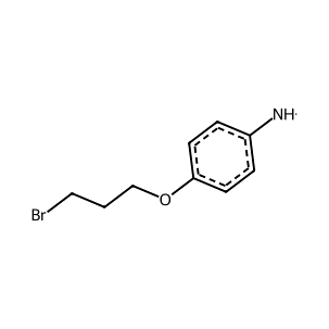 [NH]c1ccc(OCCCBr)cc1